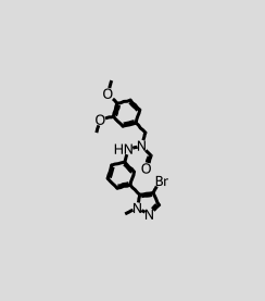 COc1ccc(CN(C=O)Nc2cccc(-c3c(Br)cnn3C)c2)cc1OC